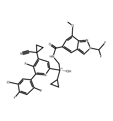 COc1cc(C(=O)NC[C@](O)(c2cc(C3(C#N)CC3)c(F)c(-c3cc(Cl)c(F)cc3F)n2)C2CC2)cc2cn(C(F)F)nc12